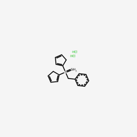 Cl.Cl.[SiH2]=[Ti]([CH2]c1ccccc1)([C]1=CC=CC1)[C]1=CC=CC1